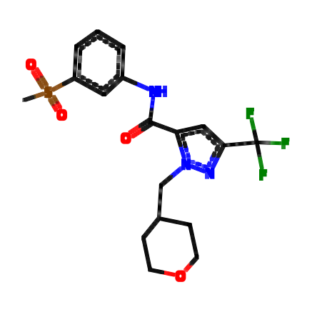 CS(=O)(=O)c1cccc(NC(=O)c2cc(C(F)(F)F)nn2CC2CCOCC2)c1